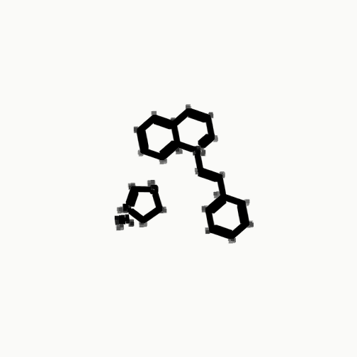 C(=C[n+]1cccc2ccccc21)c1ccccc1.C1=NCCO1.N